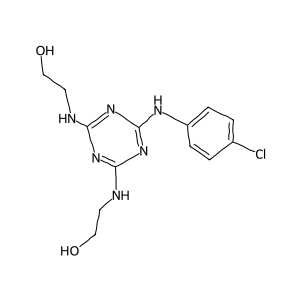 OCCNc1nc(NCCO)nc(Nc2ccc(Cl)cc2)n1